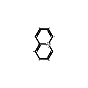 [C]1=C2C=CC=C[As]2C=CC1